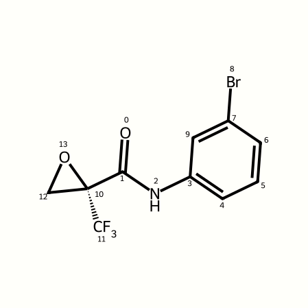 O=C(Nc1cccc(Br)c1)[C@@]1(C(F)(F)F)CO1